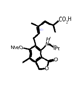 COc1c(C)c2c(c(NC(C)C)c1C/C=C(\C)CC(C)C(=O)O)C(=O)OC2